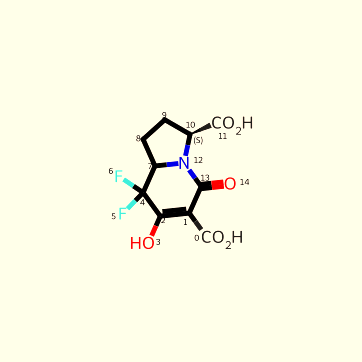 O=C(O)C1=C(O)C(F)(F)C2CC[C@@H](C(=O)O)N2C1=O